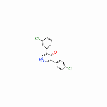 O=c1c(-c2ccc(Cl)cc2)c[nH]cc1-c1cccc(Cl)c1